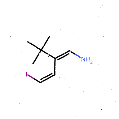 CC(C)(C)C(/C=C\I)=C/N